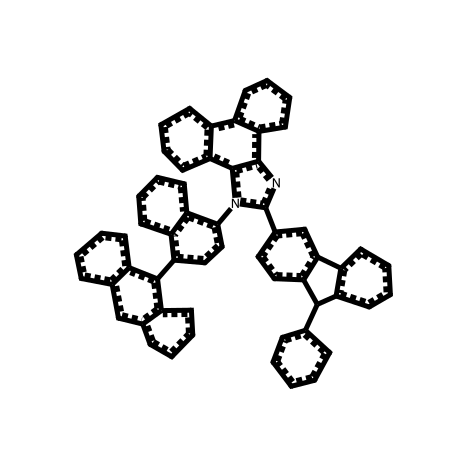 c1ccc(C2c3ccccc3-c3cc(-c4nc5c6ccccc6c6ccccc6c5n4-c4ccc(-c5c6ccccc6cc6ccccc56)c5ccccc45)ccc32)cc1